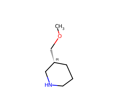 COC[C@@H]1CCCNC1